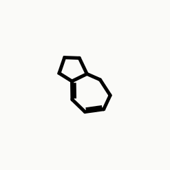 C1=CCCC2CCCC2=C1